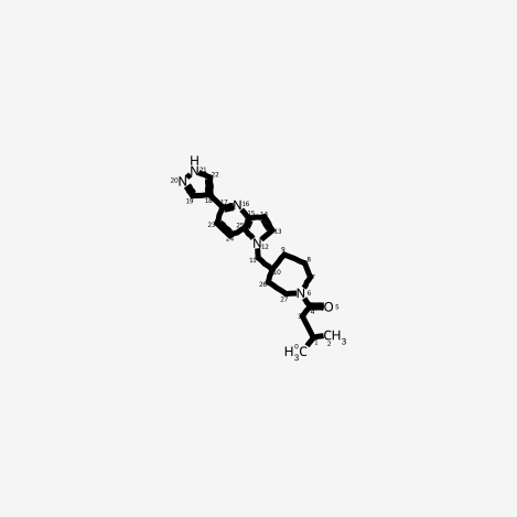 CC(C)CC(=O)N1CCCC(Cn2ccc3nc(-c4cn[nH]c4)ccc32)CC1